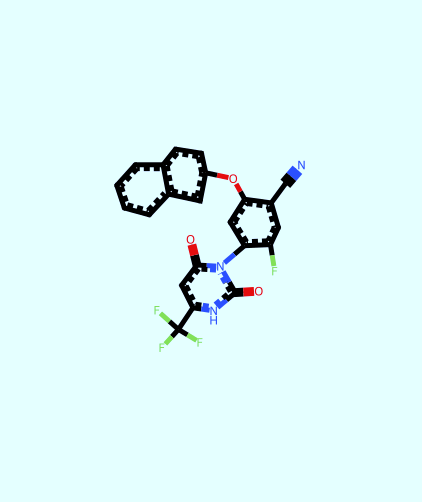 N#Cc1cc(F)c(-n2c(=O)cc(C(F)(F)F)[nH]c2=O)cc1Oc1ccc2ccccc2c1